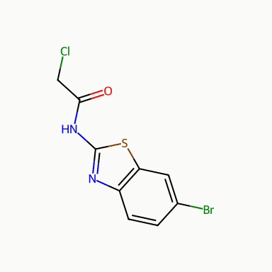 O=C(CCl)Nc1nc2ccc(Br)cc2s1